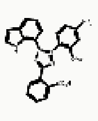 COc1cc([N+](=O)[O-])ccc1-[n+]1nc(-c2ccccc2S(=O)(=O)O)nn1-c1cccc2cc[nH]c12